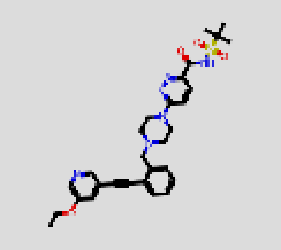 CCOc1cncc(C#Cc2ccccc2CN2CCN(c3ccc(C(=O)NS(=O)(=O)C(C)(C)C)nn3)CC2)c1